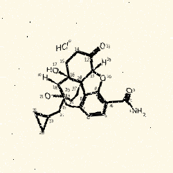 Cl.NC(=O)c1ccc2c3c1O[C@H]1C(=O)CC[C@@]4(O)[C@@H](C2)[N+]([O-])(CC2CC2)CC[C@]314